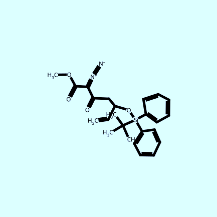 C=CC(CC(=O)C(=[N+]=[N-])C(=O)OC)O[Si](c1ccccc1)(c1ccccc1)C(C)(C)C